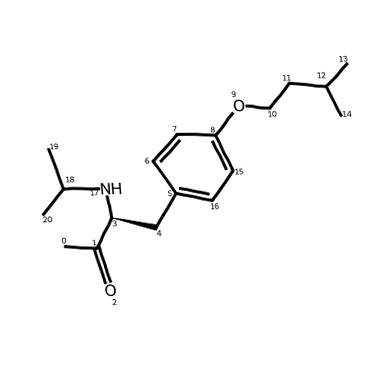 CC(=O)[C@H](Cc1ccc(OCCC(C)C)cc1)NC(C)C